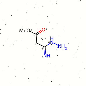 COC(=O)CC(=N)NN